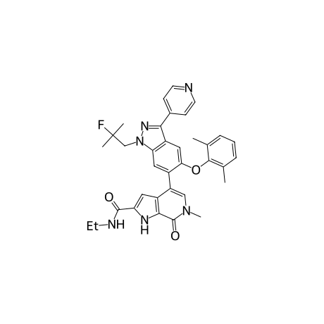 CCNC(=O)c1cc2c(-c3cc4c(cc3Oc3c(C)cccc3C)c(-c3ccncc3)nn4CC(C)(C)F)cn(C)c(=O)c2[nH]1